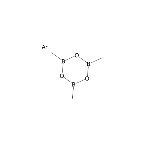 CB1OB(C)OB(C)O1.[Ar]